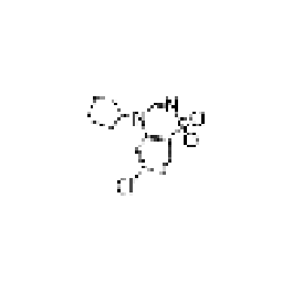 O=S1(=O)N=CN(C2CCCC2)c2cc(Cl)ccc21